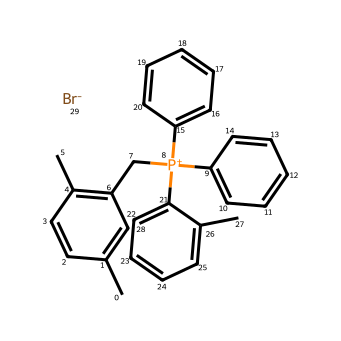 Cc1ccc(C)c(C[P+](c2ccccc2)(c2ccccc2)c2ccccc2C)c1.[Br-]